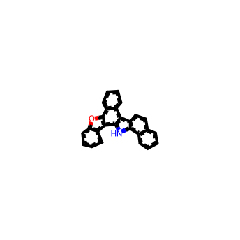 c1ccc2c(c1)ccc1c2[nH]c2c1c1ccccc1c1oc3ccccc3c21